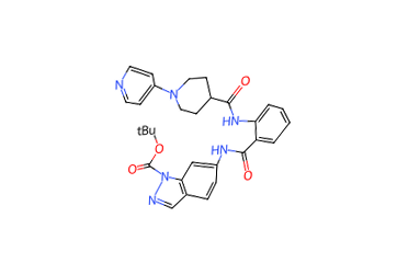 CC(C)(C)OC(=O)n1ncc2ccc(NC(=O)c3ccccc3NC(=O)C3CCN(c4ccncc4)CC3)cc21